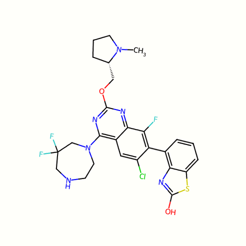 CN1CCC[C@H]1COc1nc(N2CCNCC(F)(F)C2)c2cc(Cl)c(-c3cccc4sc(O)nc34)c(F)c2n1